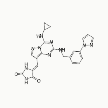 O=C1NC(=O)/C(=C/c2cnn3c(NC4CC4)nc(NCc4cccc(-n5cccn5)c4)nc23)N1